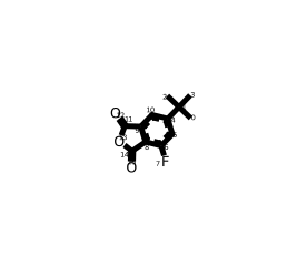 CC(C)(C)c1cc(F)c2c(c1)C(=O)OC2=O